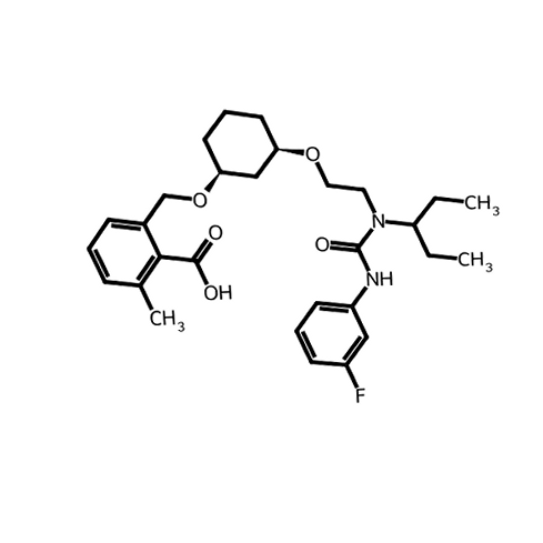 CCC(CC)N(CCO[C@@H]1CCC[C@H](OCc2cccc(C)c2C(=O)O)C1)C(=O)Nc1cccc(F)c1